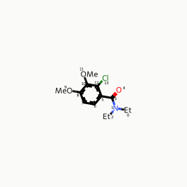 CCN(CC)C(=O)c1ccc(OC)c(OC)c1Cl